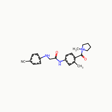 Cc1cc(NC(=O)CNc2ccc(C#N)cc2)ccc1C(=O)[N+]1(C)CCCC1